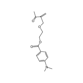 C=C(COCCOC(=O)c1ccc(N(C)C)cc1)C(C)=O